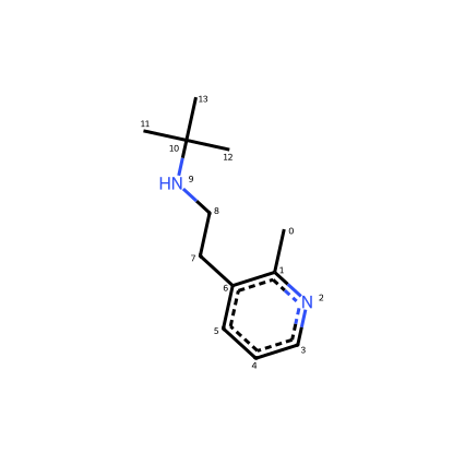 Cc1ncccc1CCNC(C)(C)C